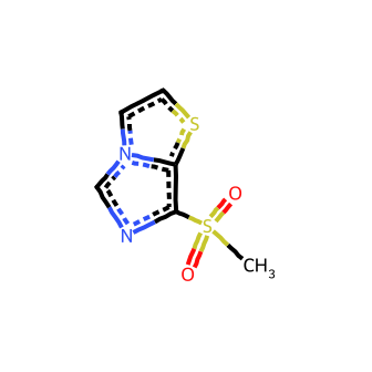 CS(=O)(=O)c1ncn2ccsc12